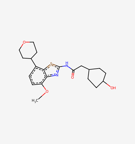 COc1ccc(C2CCOCC2)c2sc(NC(=O)CC3CCC(O)CC3)nc12